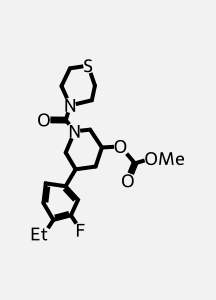 CCc1ccc(C2CC(OC(=O)OC)CN(C(=O)N3CCSCC3)C2)cc1F